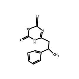 CC(Cc1nc(=O)[nH]c(=O)[nH]1)c1ccccc1